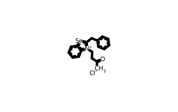 CC(=O)CC[n+]1c(Cc2ccccc2)[se]c2ccccc21.[Cl-]